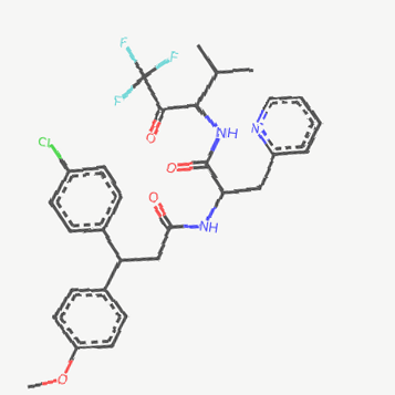 COc1ccc(C(CC(=O)NC(Cc2ccccn2)C(=O)NC(C(=O)C(F)(F)F)C(C)C)c2ccc(Cl)cc2)cc1